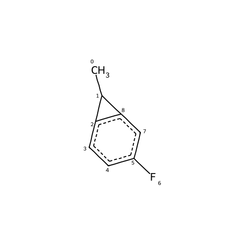 CC1c2ccc(F)cc21